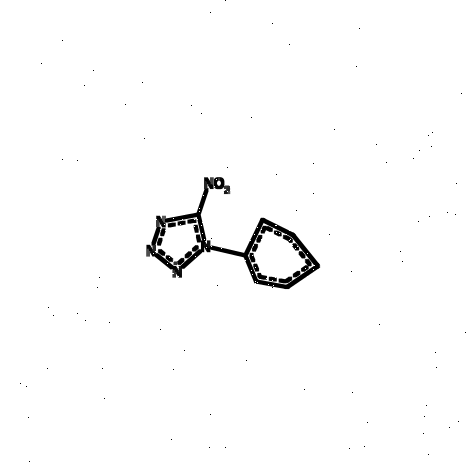 O=[N+]([O-])c1nnnn1-c1ccccc1